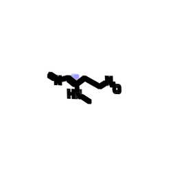 C=N/C=C(/CCN=O)NC